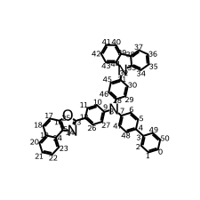 c1ccc(-c2ccc(N(c3ccc(-c4nc5c(ccc6ccccc65)o4)cc3)c3ccc(-n4c5ccccc5c5ccccc54)cc3)cc2)cc1